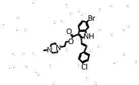 CN1CCN(CCOC(=O)c2c(/C=C/c3ccc(Cl)cc3)[nH]c3cc(Br)ccc23)CC1